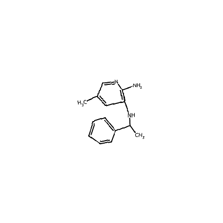 Cc1cnc(N)c(NC(C)c2ccccc2)c1